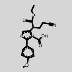 CCOC(=O)C(CCC#N)c1cnc(-c2ccc(OC)cc2)n1C(=O)O